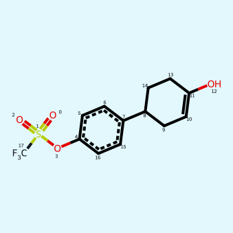 O=S(=O)(Oc1ccc(C2CC=C(O)CC2)cc1)C(F)(F)F